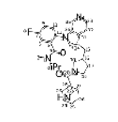 CC(C)N(C)C(=O)c1cc(F)ccc1-n1cc(CC2CCN(C(=O)C3NC4CCC3CC4)C2)c2ccncc21